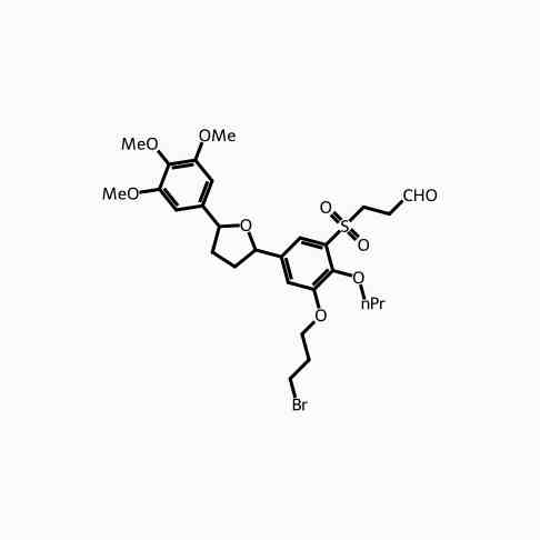 CCCOc1c(OCCCBr)cc(C2CCC(c3cc(OC)c(OC)c(OC)c3)O2)cc1S(=O)(=O)CCC=O